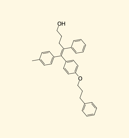 Cc1ccc(/C(=C(\CCCO)c2ccccc2)c2ccc(OCCCc3ccccc3)cc2)cc1